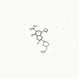 NCC1CCN(c2cc3c(cc2F)c(=O)c(C(=O)O)cn3C23CC(C2)C3)C1